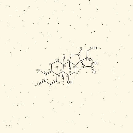 CCCCC(=O)O[C@]1(C(=O)CO)C(C)C[C@H]2[C@@H]3CCC4=C(F)C(=O)C=C[C@]4(C)[C@H]3C(O)C[C@@]21C